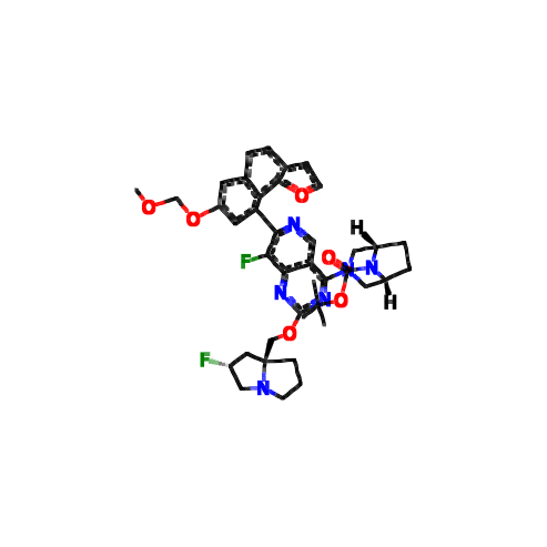 COCOc1cc(-c2ncc3c(N4C[C@H]5CC[C@@H](C4)N5C(=O)OC(C)(C)C)nc(OC[C@@]45CCCN4C[C@H](F)C5)nc3c2F)c2c(ccc3ccoc32)c1